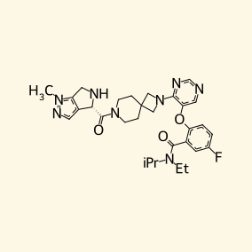 CCN(C(=O)c1cc(F)ccc1Oc1cncnc1N1CC2(CCN(C(=O)[C@H]3NCc4c3cnn4C)CC2)C1)C(C)C